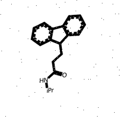 CC(C)NC(=O)CCC1c2ccccc2-c2ccccc21